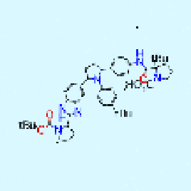 CC(C)(C)OC(=O)N1CCCC1c1nc2cc(C3CCC(c4ccc(NC(=O)[C@@]5(C(C)(C)C)CCCN5C(=O)O)cc4)N3c3ccc(C(C)(C)C)cc3)ccc2[nH]1